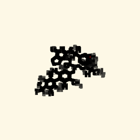 [2H]c1c([2H])c(-c2c([2H])c([2H])c(C(F)(F)F)c([2H])c2[2H])c([2H])c(C)c1CN(CCN(C([2H])([2H])C)C([2H])([2H])C)C(=O)Cn1c(SC([2H])([2H])c2ccc(F)cc2)nc(=O)c2c1CCC2